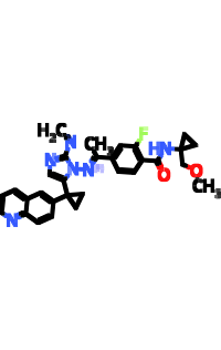 C=Nc1ncc(C2(c3ccc4ncccc4c3)CC2)n1/N=C(\C)c1ccc(C(=O)NC2(COC)CC2)c(F)c1